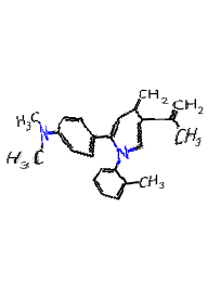 C=C(C)C1=CN(c2ccccc2C)C(c2ccc(N(C)C)cc2)=CC1=C